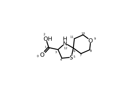 O=C(O)C1CSC2(CCOCC2)N1